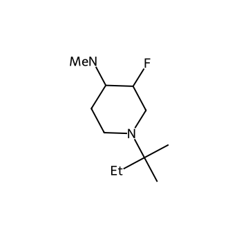 CCC(C)(C)N1CCC(NC)C(F)C1